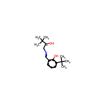 CC(C)(C)c1cccc(C=NC[C@H](O)C(C)(C)C)c1O